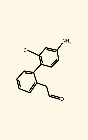 Nc1ccc(-c2ccccc2CC=O)c(Cl)c1